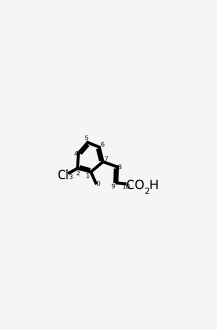 Cc1c(Cl)cccc1/C=C/C(=O)O